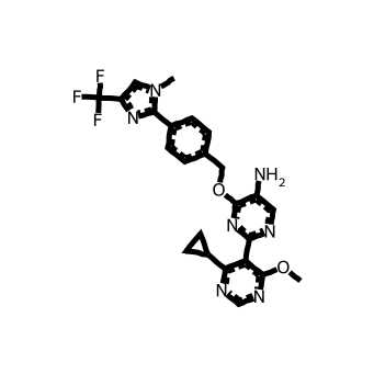 COc1ncnc(C2CC2)c1-c1ncc(N)c(OCc2ccc(-c3nc(C(F)(F)F)cn3C)cc2)n1